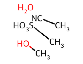 CC#N.CO.CS(=O)(=O)O.O